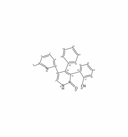 Cc1cccc(-c2c[nH]c(=O)c(-c3ccccc3C#N)c2-c2ccccc2)n1